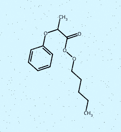 CCCCCOOC(=O)C(C)Oc1ccccc1